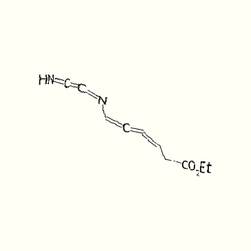 CCOC(=O)CC=C=C=CN=C=C=N